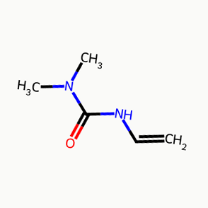 C=CNC(=O)N(C)C